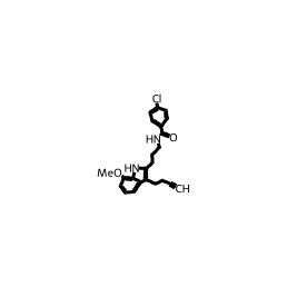 C#CCCc1c(CCCNC(=O)c2ccc(Cl)cc2)[nH]c2c(OC)cccc12